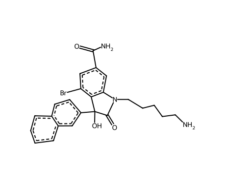 NCCCCCN1C(=O)C(O)(c2ccc3ccccc3c2)c2c(Br)cc(C(N)=O)cc21